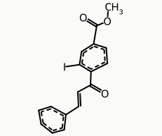 COC(=O)c1ccc(C(=O)C=Cc2ccccc2)c(I)c1